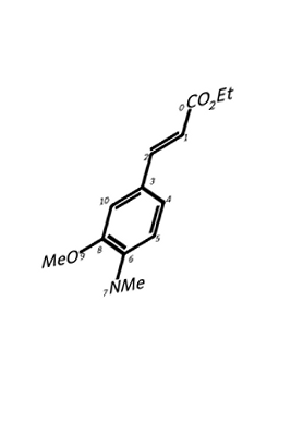 CCOC(=O)C=Cc1ccc(NC)c(OC)c1